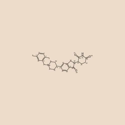 Cc1ccc(C)c(CN2CCC(c3ccc4c(c3)CN(C3CCC(=O)NC3=O)C4=O)CC2)c1